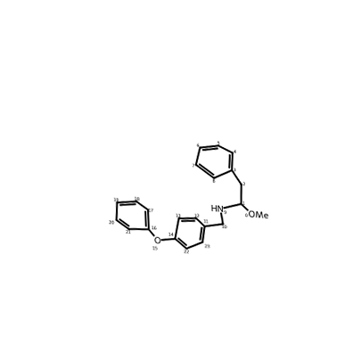 COC(Cc1ccccc1)NCc1ccc(Oc2ccccc2)cc1